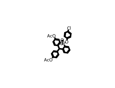 CC(=O)Oc1ccc(C(c2ccc(OC(C)=O)cc2)c2ccccc2S(=O)(=O)Oc2ccc(Cl)cc2)cc1